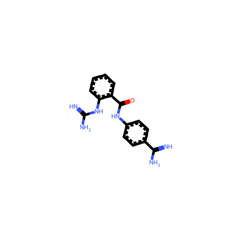 N=C(N)Nc1ccccc1C(=O)Nc1ccc(C(=N)N)cc1